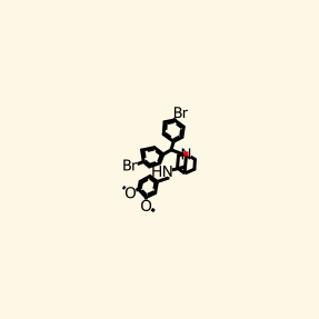 COc1ccc(CNC2C3CCN(CC3)C2C(c2ccc(Br)cc2)c2ccc(Br)cc2)cc1OC